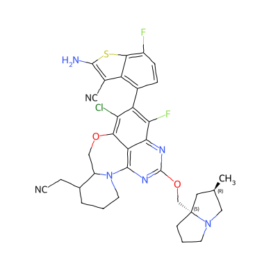 C[C@H]1CN2CCC[C@@]2(COc2nc3c4c(c(Cl)c(-c5ccc(F)c6sc(N)c(C#N)c56)c(F)c4n2)OCC2C(CC#N)CCCN32)C1